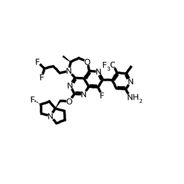 Cc1nc(N)cc(-c2nc3c4c(nc(OC[C@@]56CCCN5C[C@H](F)C6)nc4c2F)N(CCC(F)F)[C@@H](C)CO3)c1C(F)(F)F